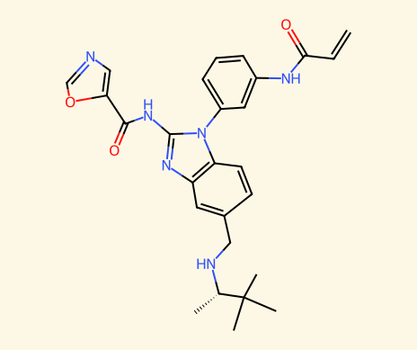 C=CC(=O)Nc1cccc(-n2c(NC(=O)c3cnco3)nc3cc(CN[C@@H](C)C(C)(C)C)ccc32)c1